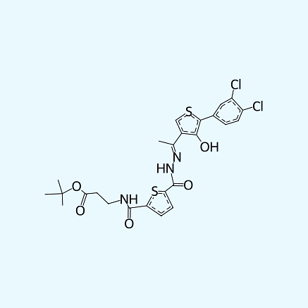 CC(=NNC(=O)c1ccc(C(=O)NCCC(=O)OC(C)(C)C)s1)c1csc(-c2ccc(Cl)c(Cl)c2)c1O